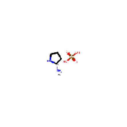 N[C@H]1CCCN1.O=S(=O)(O)O.[Pt]